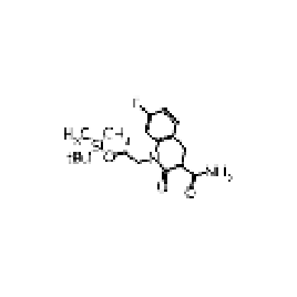 CC(C)(C)[Si](C)(C)OCCN1C(=O)C(C(N)=O)Cc2ccc(F)cc21